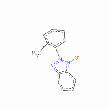 Cc1ccccc1-n1nc2ccccc2[n+]1[O-]